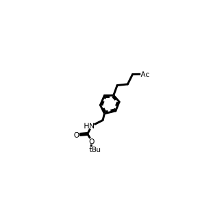 CC(=O)CCCc1ccc(CNC(=O)OC(C)(C)C)cc1